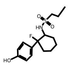 CCCS(=O)(=O)NC1CCCCC1(F)c1ccc(O)cc1